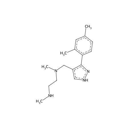 CNCCN(C)Cc1c[nH]nc1-c1ccc(C)cc1C